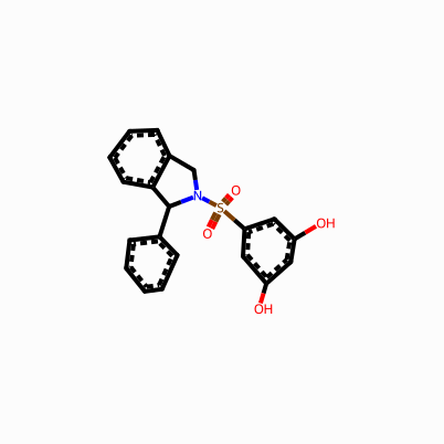 O=S(=O)(c1cc(O)cc(O)c1)N1Cc2ccccc2C1c1ccccc1